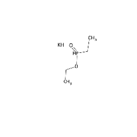 CCO[PH](=O)CC.[KH]